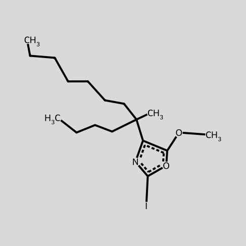 CCCCCCCC(C)(CCCC)c1nc(I)oc1OC